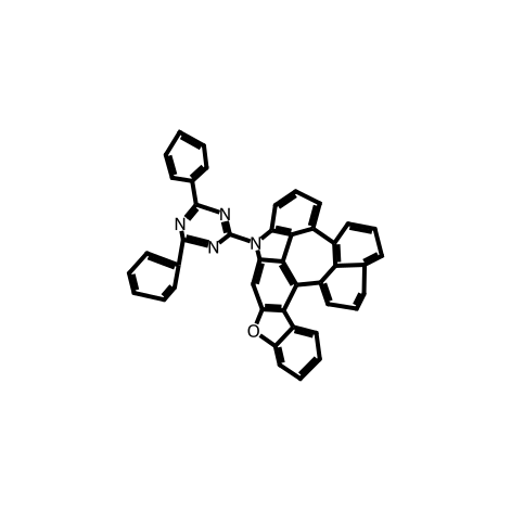 c1ccc(-c2nc(-c3ccccc3)nc(-n3c4cccc5c4c4c(c6c(cc43)oc3ccccc36)-c3cccc4cccc-5c34)n2)cc1